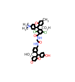 C=c1ccc2c(c1)Oc1cc(N(C)C)ccc1C=2c1c(Cl)c(C(=O)NCC(=O)NCc2ccc(C(=O)O)c(-c3c4ccc(=O)cc-4oc4cc(O)ccc34)c2)cc(Cl)c1C(=O)O